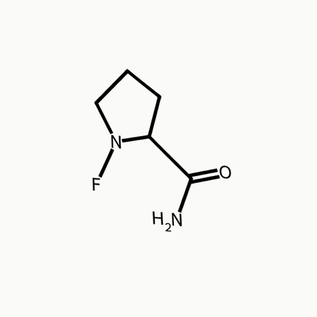 NC(=O)C1CCCN1F